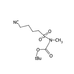 CN(C(=O)OC(C)(C)C)S(=O)(=O)CCCCC#N